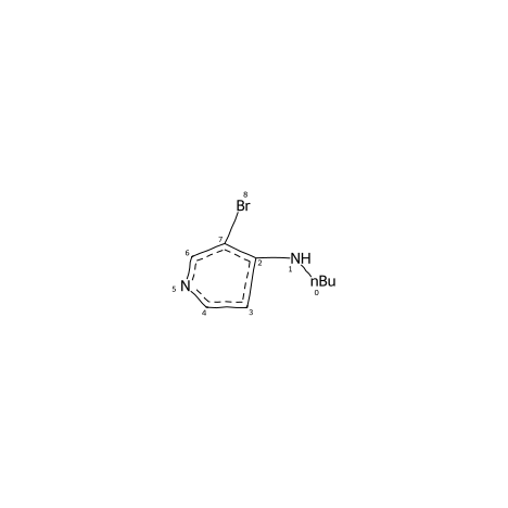 CCCCNc1ccncc1Br